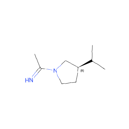 CC(=N)N1CC[C@H](C(C)C)C1